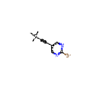 C[Si](C)(C)C#Cc1cnc(Br)nc1